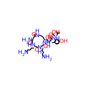 CC(C)C[C@H](NC(=O)[C@H](Cc1ccc(O)cc1)NC(=O)[C@@H]1CCCNC(=O)C[C@H](N)C(=O)N[C@@H](CCCCN)C(=O)N[C@@H](CCCCN)C(=O)N1)C(=O)O